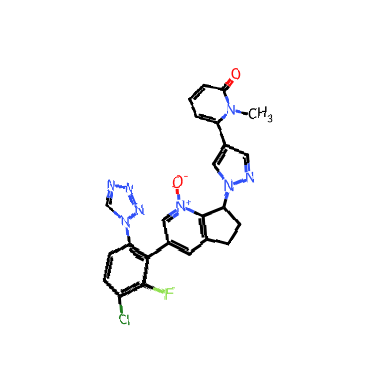 Cn1c(-c2cnn(C3CCc4cc(-c5c(-n6cnnn6)ccc(Cl)c5F)c[n+]([O-])c43)c2)cccc1=O